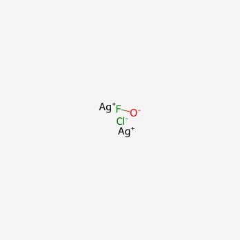 [Ag+].[Ag+].[Cl-].[O-]F